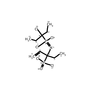 C=CC(CC)(N=P(Cl)(Cl)C(Cl)(CC)CC)P(=O)(Cl)Cl